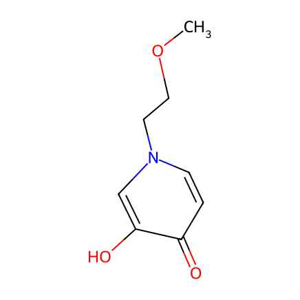 COCCn1ccc(=O)c(O)c1